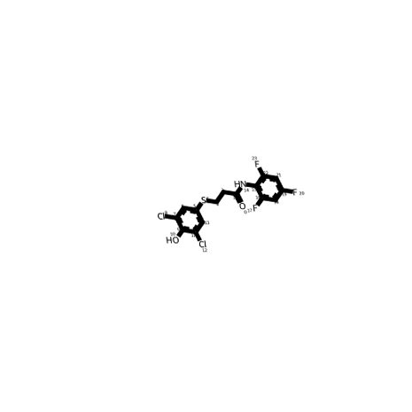 O=C(CCSc1cc(Cl)c(O)c(Cl)c1)Nc1c(F)cc(F)cc1F